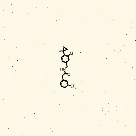 CC1(c2ccc(CNC(=O)Cc3cccc(C(F)(F)F)c3)cc2Cl)CC1